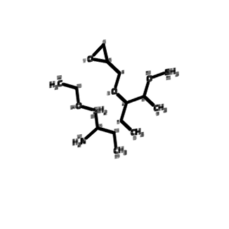 CCC(OCC1CO1)C(C)O[SiH3].CCO[SiH2]C(N)CC